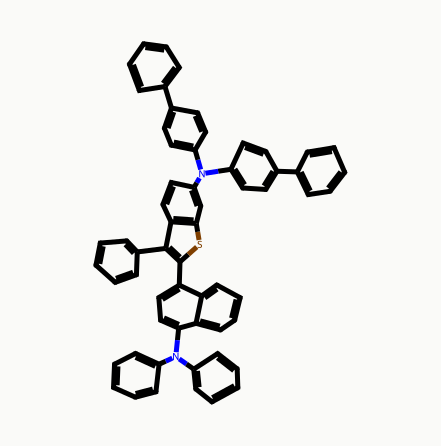 c1ccc(-c2ccc(N(c3ccc(-c4ccccc4)cc3)c3ccc4c(-c5ccccc5)c(-c5ccc(N(c6ccccc6)c6ccccc6)c6ccccc56)sc4c3)cc2)cc1